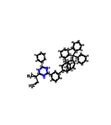 C=CC(=C)c1nc(-c2ccccc2)nc(-c2cccc(-c3cccc(-c4cccc5c4C(c4ccccc4)(c4ccccc4)c4ccccc4-5)c3)c2)n1